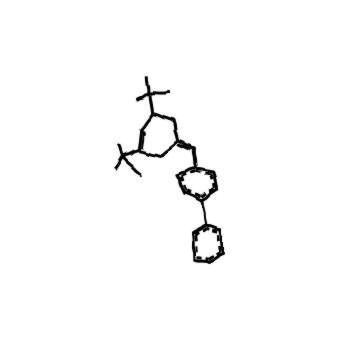 CC(C)(C)C1=CC(C(C)(C)C)CC(=Cc2ccc(-c3ccccc3)cc2)C1